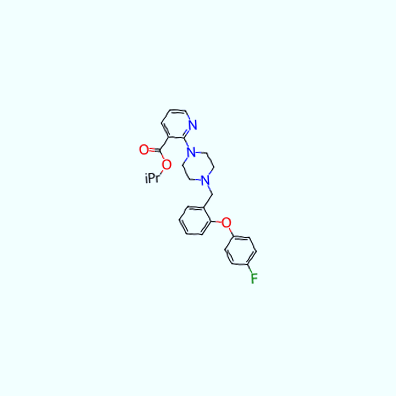 CC(C)OC(=O)c1cccnc1N1CCN(Cc2ccccc2Oc2ccc(F)cc2)CC1